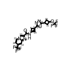 O=C(NC12CC(c3nnc(C4CC(OC(F)(F)F)C4)o3)(C1)C2)c1cn2ccc(C(F)(F)F)cc2n1